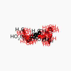 CCC(OC1CC(O)(OC2OCC(O)(CO)C2O)CCO1)/C(OC1OC(CO)C(O)C(O)C1O)=C(/O)C(O)OC1C(OC(=O)[C@]23CCC(C)(C)CC2C2=CCC4[C@@]5(C)CC[C@H](OC(O)C(OC6OC(CO)C(O)C(O)C6O)C(OC(O)C(O)C(O)C(C)O)C(O)CC(=O)O)[C@@](C)(C=O)C5CC[C@@]4(C)[C@]2(C)C[C@H]3O)OC(C)C(C)C1O